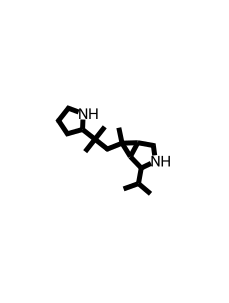 CC(C)C1NCC2C1C2(C)CC(C)(C)C1CCCN1